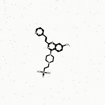 Cc1ccc2c(N3CCN(CCP(=O)(O)O)CC3)nc(/C=C/c3cccnc3)nc2c1